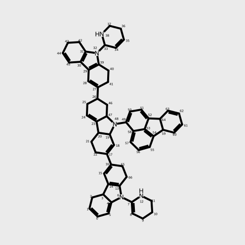 C1=CCC2C(=C1)N(C1=CCCCN1)C1=C2C=C(C2=CC3C(CC2)C2=CCC(C4=Cc5c6c(n(C7C=CCCN7)c5CC4)CCC=C6)CC2N3c2ccc3c4c(cccc24)C2C=CC=CC32)CC1